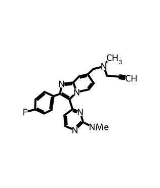 C#CCN(C)Cc1ccn2c(-c3ccnc(NC)n3)c(-c3ccc(F)cc3)nc2c1